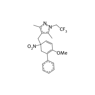 COC1=C(c2ccccc2)CC(Cc2c(C)nn(CC(F)(F)F)c2C)([N+](=O)[O-])C=C1